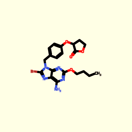 CCCCOc1nc(N)c2nc(Br)n(Cc3ccc(OC4CCOC4=O)cc3)c2n1